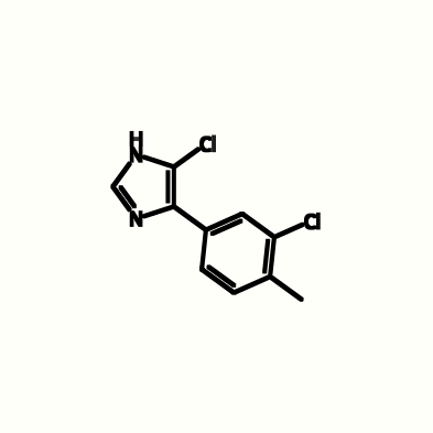 Cc1ccc(-c2nc[nH]c2Cl)cc1Cl